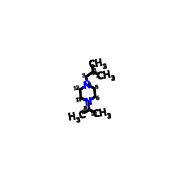 C[C](C)CN1CCN(C(C)C)CC1